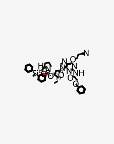 CC[C@H]1O[C@@H](n2cnc3c(OCCC#N)nc(NC(=O)COc4ccccc4)nc32)C[C@H]1O[P@]1O[C@H](C[Si](C)(c2ccccc2)c2ccccc2)[C@@H]2CCCN21